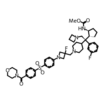 COC(=O)N[C@H]1CCC[C@@H]1[C@](CN1CCC1)(c1cccc(F)c1)C1CCN(CC2(F)CN(c3ccc(S(=O)(=O)c4ccc(C(=O)N5CCOCC5)cc4)cc3)C2)CC1